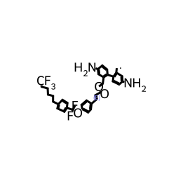 [CH2]c1cc(N)ccc1-c1ccc(N)cc1COC(=O)/C=C/c1ccc(OC(F)(F)c2ccc(CCCCCC(F)(F)F)cc2)cc1